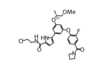 COC[C@H](C)Oc1cc(Oc2ccc(C(=O)N3CCC3)cc2F)cc(-c2ccc(C(=O)NCCCl)[nH]2)c1